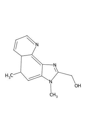 CC1C=c2c(nc(CO)n2C)=C2N=CC=CC21